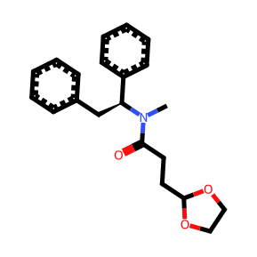 CN(C(=O)CCC1OCCO1)[C@@H](Cc1ccccc1)c1ccccc1